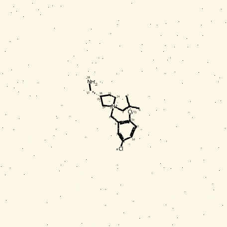 CC(C)C[N+]1(Cc2cc(Cl)ccc2Cl)CC[C@@H](CN)C1